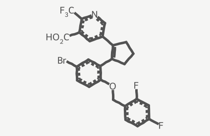 O=C(O)c1cc(C2=C(c3cc(Br)ccc3OCc3ccc(F)cc3F)CCC2)cnc1C(F)(F)F